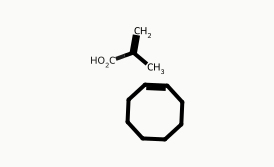 C1=C\CCCCCC/1.C=C(C)C(=O)O